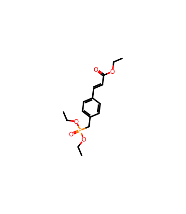 CCOC(=O)C=Cc1ccc(CP(=O)(OCC)OCC)cc1